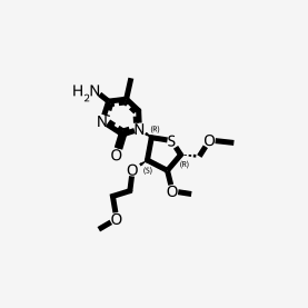 COCCO[C@H]1C(OC)[C@@H](COC)S[C@H]1n1cc(C)c(N)nc1=O